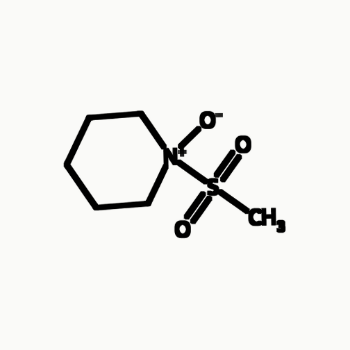 CS(=O)(=O)[N+]1([O-])CCCCC1